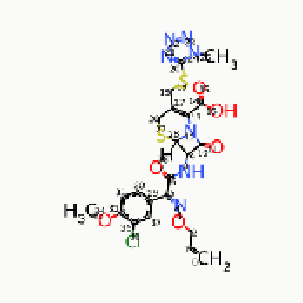 C=CCON=C(C(=O)NC1C(=O)N2C(C(=O)O)=C(CSc3nnnn3C)CS[C@@H]12)c1ccc(OC)c(Cl)c1